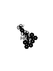 O=C(OS(=O)(=O)c1ccc([N+](=O)[O-])cc1)C(F)(F)[C@H](OOC(c1ccccc1)(c1ccccc1)c1ccccc1)[C@H](O)COOC(c1ccccc1)(c1ccccc1)c1ccccc1